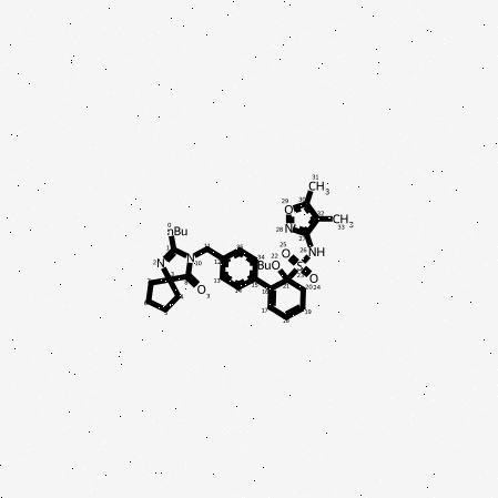 CCCCC1=NC2(CCCC2)C(=O)N1Cc1ccc(C2=CC=CCC2(OCC(C)C)S(=O)(=O)Nc2noc(C)c2C)cc1